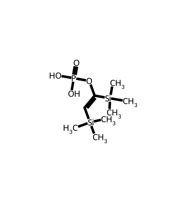 C[Si](C)(C)C=C(OP(=O)(O)O)[Si](C)(C)C